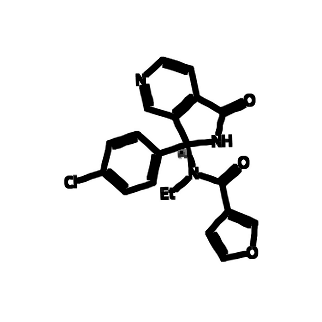 CCN(C(=O)c1ccoc1)[C@]1(c2ccc(Cl)cc2)NC(=O)c2ccncc21